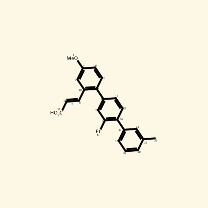 CCc1cc(-c2ccc(OC)cc2/C=C/C(=O)O)ccc1-c1cccc(C)c1